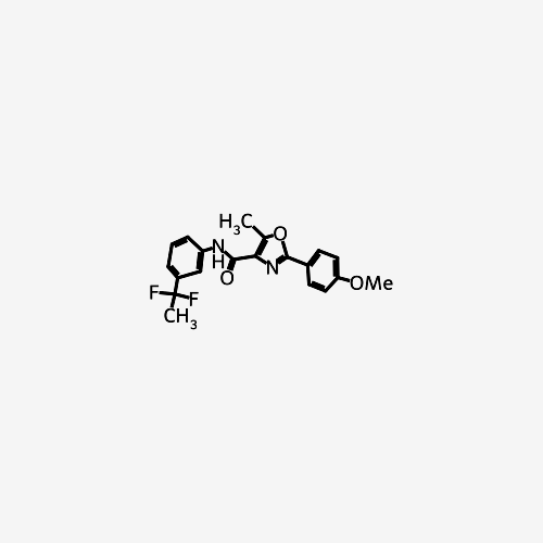 COc1ccc(-c2nc(C(=O)Nc3cccc(C(C)(F)F)c3)c(C)o2)cc1